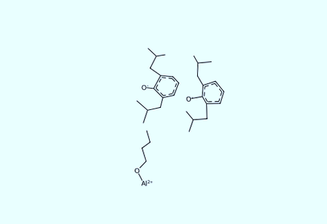 CC(C)Cc1cccc(CC(C)C)c1[O-].CC(C)Cc1cccc(CC(C)C)c1[O-].CCCC[O][Al+2]